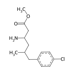 COC(=O)CC(N)CC(C)Cc1ccc(Cl)cc1